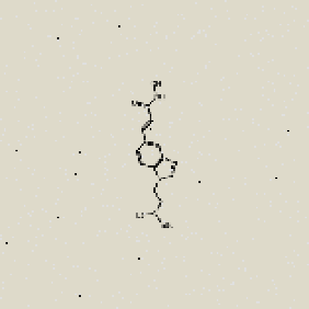 CCCCN(CC)CCn1cnc2cc(C=CC(=O)NO)ccc21